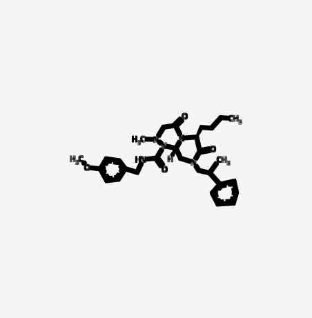 CCCC[C@H]1C(=O)N(CC(C)c2ccccc2)C[C@H]2N1C(=O)CN(C)N2C(=O)NCc1ccc(OC)cc1